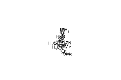 COc1ccc(C(OC)OC(C)(C)c2cc(-c3sc(NC(=O)N4CCC(C)(C#N)CC4)nc3-c3cccc(C#N)c3)cc(C)n2)cc1